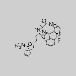 CN(C(=O)CCCCC1(C(N)=O)CC=CC1)C1(C)N=C(c2ccccc2C(F)(F)F)c2ccccc2NC1=O